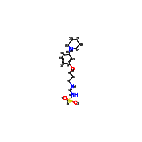 CS(=O)(=O)NC=NCCCOc1cccc(N2CCCCC2)c1